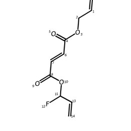 C=CCOC(=O)C=CC(=O)OC(F)C=C